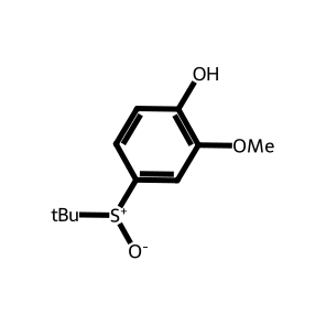 COc1cc([S+]([O-])C(C)(C)C)ccc1O